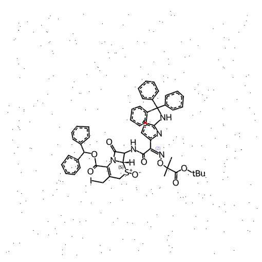 CC(C)(C)OC(=O)C(C)(C)O/N=C(\C(=O)NC1C(=O)N2C(C(=O)OC(c3ccccc3)c3ccccc3)=C(CI)C[S+]([O-])[C@@H]12)c1csc(NC(c2ccccc2)(c2ccccc2)c2ccccc2)n1